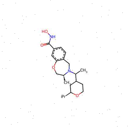 CC(C)C1CC(C(C)N2Cc3ccc(C(=O)NO)cc3OC[C@@H]2C)CCO1